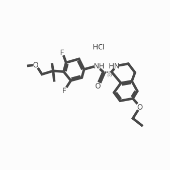 CCOc1ccc2c(c1)CCN[C@H]2C(=O)Nc1cc(F)c(C(C)(C)COC)c(F)c1.Cl